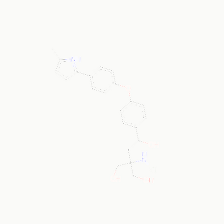 Cc1ccc(-c2ccc(Oc3ccc(C(O)CC(CO)(CO)NCl)cc3)cc2)[nH]1